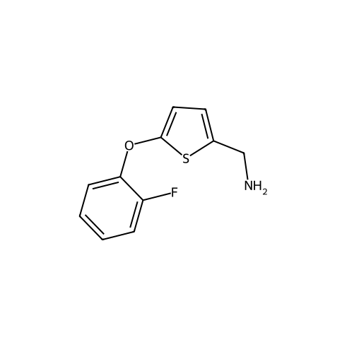 NCc1ccc(Oc2ccccc2F)s1